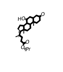 CC(C)OC(=O)CC[C@@H](C)[C@H]1CCC2C3C(CC[C@@]21C)[C@@]1(C)CCC(=O)CC1C[C@@H]3O